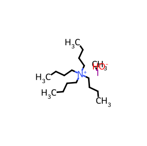 CCCC[N+](CCCC)(CCCC)CCCC.CI.[OH-]